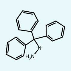 N[N]C(c1ccccc1)(c1ccccc1)c1ccccc1